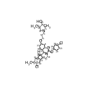 CCN(CCCOc1ccc(C2c3[nH]c4c(c3CCN2C(=O)Oc2ccc(Cl)cc2)=CC(Cl)C(C)C=4)cc1)CC(C)CO